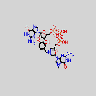 COc1ccc(CN2CC(n3c[n+](C)c4c(=O)[nH]c(N)nc43)O[C@H](COP(=O)(O)OP(=O)(O)OP(=O)(O)OCC3OC(n4cnc5c(=O)[nH]c(N)nc54)C[C@@H]3O)C2)cc1